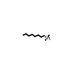 C[CH]CCCCC[CH2][Sn]([CH3])([CH3])[CH3]